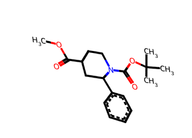 COC(=O)C1CCN(C(=O)OC(C)(C)C)C(c2ccccc2)C1